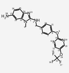 Cn1c(NCc2ccc(Oc3ncc(OC(F)(F)F)cn3)cc2)nc2ccc(N)cc21